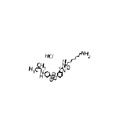 CC(C)CNc1ccc(S(=O)(=O)Oc2ccc3nc(NC(=O)CCCCCCCN)sc3c2)cc1.Cl